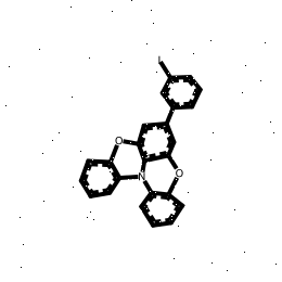 Ic1cccc(-c2cc3c4c(c2)Oc2ccccc2N4c2ccccc2O3)c1